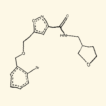 O=C(NCC1CCOC1)c1cc(COCc2ccccc2Br)on1